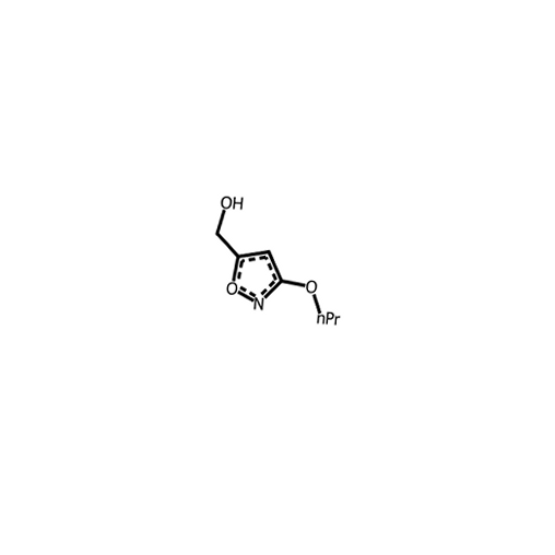 CCCOc1cc(CO)on1